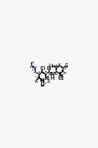 C/C=C/Cc1c(Cl)c(C(=O)Nc2c(CC)cc(F)cc2CC)c(C)[n+]([O-])c1C